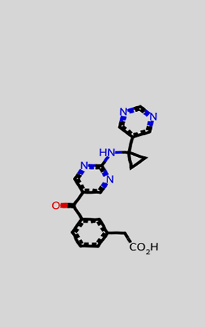 O=C(O)Cc1cccc(C(=O)c2cnc(NC3(c4cncnc4)CC3)nc2)c1